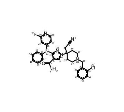 N#CCC1(n2cc(C(N)=O)c(N(c3ccccc3)c3ccnc(F)c3)n2)CCN(Cc2ccccc2Cl)CC1